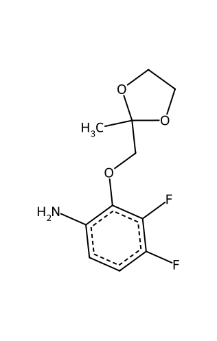 CC1(COc2c(N)ccc(F)c2F)OCCO1